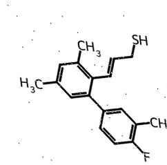 Cc1cc(C)c(C=CCS)c(-c2ccc(F)c(C)c2)c1